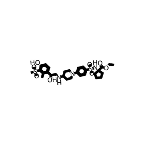 CCOC(=O)C1(NS(=O)(=O)c2ccc(N3CCC(NCC(O)c4ccc(O)c(S(C)(=O)=O)c4C)CC3)cc2)CCCC1